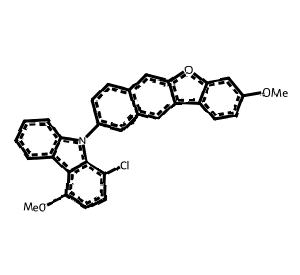 COc1ccc2c(c1)oc1cc3ccc(-n4c5ccccc5c5c(OC)ccc(Cl)c54)cc3cc12